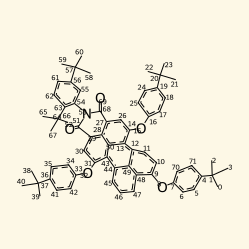 CC(C)(C)c1ccc(Oc2ccc3c4c(Oc5ccc(C(C)(C)C)cc5)cc5c6c(cc(Oc7ccc(C(C)(C)C)cc7)c(c7cccc2c73)c64)C(=O)N(c2cc(C(C)(C)C)ccc2C(C)(C)C)C5=O)cc1